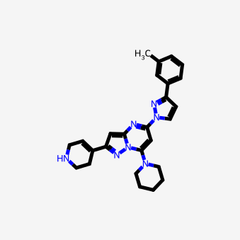 Cc1cccc(-c2ccn(-c3cc(N4CCCCC4)n4nc(C5=CCNCC5)cc4n3)n2)c1